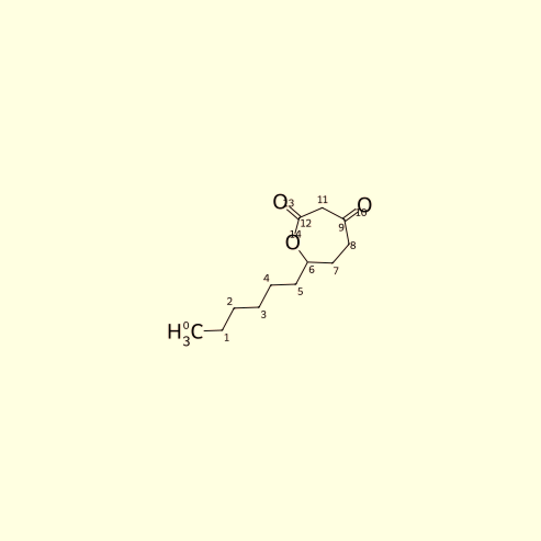 CCCCCCC1CCC(=O)CC(=O)O1